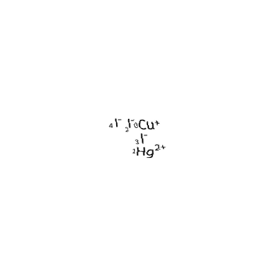 [Cu+].[Hg+2].[I-].[I-].[I-]